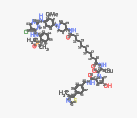 COc1cc(N2CCC(NC(=O)CCCCCCCCCC(=O)NC(C(=O)N3C[C@H](O)C[C@H]3C(=O)NCc3ccc(-c4scnc4C)cc3)C(C)(C)C)CC2)ccc1Nc1ncc(Cl)c(Nc2ccccc2P(C)(C)=O)n1